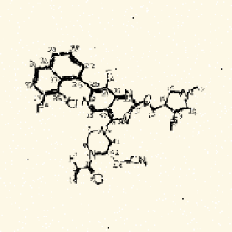 C=C(F)C(=O)N1CCN(c2nc(OC[C@H]3CN(C)C[C@H]3F)nc3c(F)c(-c4cccc5ccc(F)c(Cl)c45)ncc23)C[C@@H]1CC#N